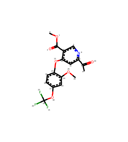 COC(=O)c1cnc(C(C)=O)cc1Oc1ccc(OC(F)(F)F)cc1OC